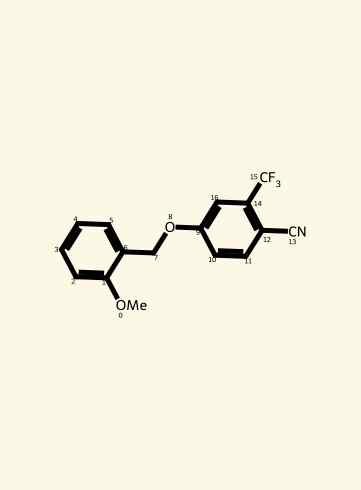 COc1ccccc1COc1ccc(C#N)c(C(F)(F)F)c1